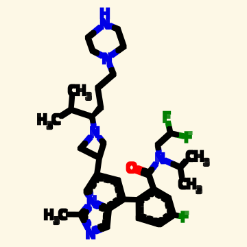 Cc1ncc2c(-c3ccc(F)cc3C(=O)N(CC(F)F)C(C)C)cc(C3CN([C@H](CCCN4CCNCC4)C(C)C)C3)cn12